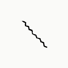 [CH2]CCCC=CCCCCCCCC